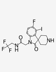 O=C(CN1C(=O)C2(CCNCC2)c2c1ccc(F)c2I)NCC(F)(F)F